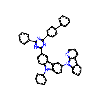 c1ccc(-c2ccc(-c3nc(-c4ccccc4)nc(-c4ccc5c(c4)c4cc(-n6c7ccccc7c7cccnc76)ccc4n5-c4ccccc4)n3)cc2)cc1